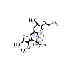 C=C(C/C(C)=C/C(=C(/OC)C(=C)C)C(C)(C)C)C(=O)OCC